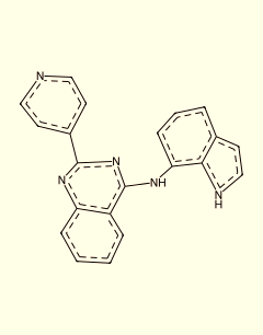 c1cc(Nc2nc(-c3ccncc3)nc3ccccc23)c2[nH]ccc2c1